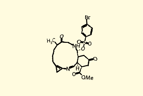 COC(=O)[C@@H]1CC(=O)CC2[C@@H](OS(=O)(=O)c3ccc(Br)cc3)NCC(=O)C(C)CCCC3=C(C3)/N=C\[C@@H]21